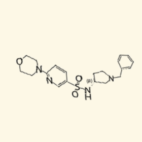 O=S(=O)(N[C@@H]1CCN(Cc2ccccc2)C1)c1ccc(N2CCOCC2)nc1